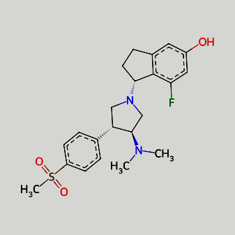 CN(C)[C@@H]1CN([C@@H]2CCc3cc(O)cc(F)c32)C[C@H]1c1ccc(S(C)(=O)=O)cc1